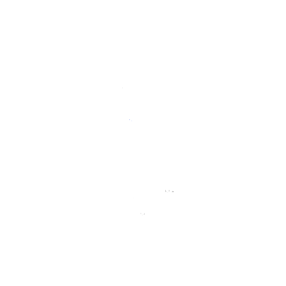 COc1ccc(CCN2CCC(=O)CC2)cc1OC